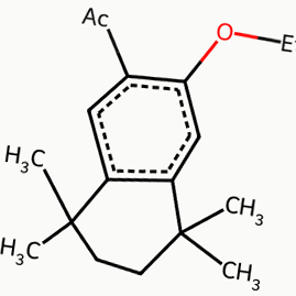 CCOc1cc2c(cc1C(C)=O)C(C)(C)CCC2(C)C